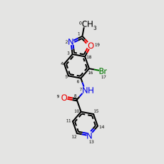 Cc1nc2ccc(NC(=O)c3ccncc3)c(Br)c2o1